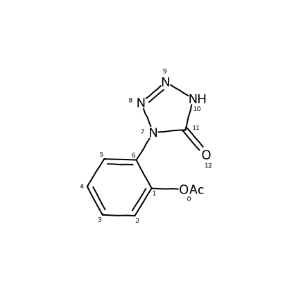 CC(=O)Oc1ccccc1-n1nn[nH]c1=O